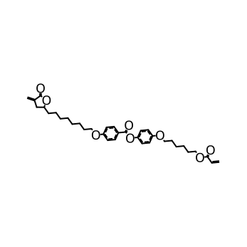 C=CC(=O)OCCCCCCOc1ccc(OC(=O)c2ccc(OCCCCCCCCC3CC(=C)C(=O)O3)cc2)cc1